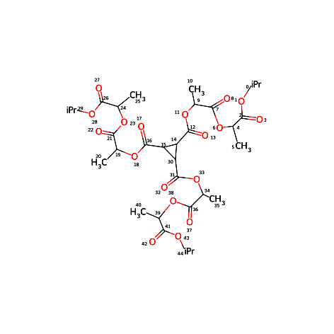 CC(C)OC(=O)C(C)OC(=O)C(C)OC(=O)C1C(C(=O)OC(C)C(=O)OC(C)C(=O)OC(C)C)C1C(=O)OC(C)C(=O)OC(C)C(=O)OC(C)C